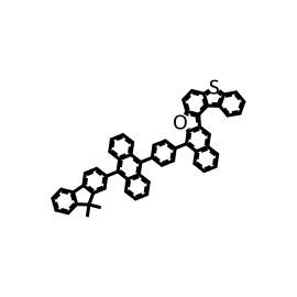 CC1(C)c2ccccc2-c2ccc(-c3c4ccccc4c(-c4ccc(-c5c6ccccc6cc6c5oc5ccc7sc8ccccc8c7c56)cc4)c4ccccc34)cc21